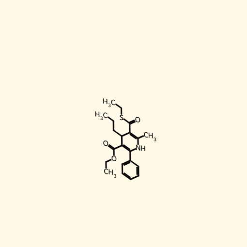 CCCC1C(C(=O)SCC)=C(C)NC(c2ccccc2)=C1C(=O)OCC